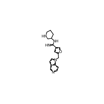 N=C(NC1CCCNC1)c1coc(Cn2ccc3cnccc32)c1